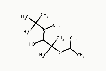 CC(C)OC(C)(C)C(O)N(C)C(C)(C)C